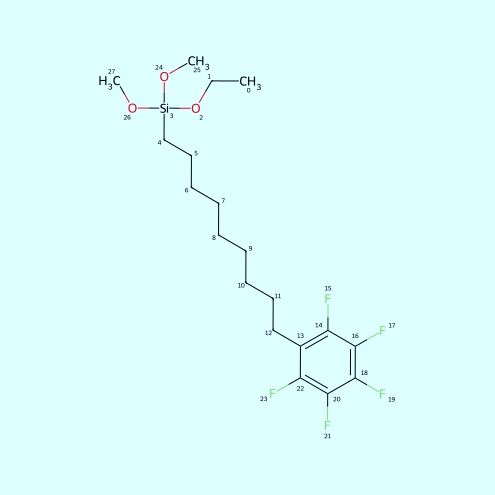 CCO[Si](CCCCCCCCCc1c(F)c(F)c(F)c(F)c1F)(OC)OC